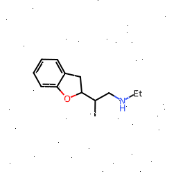 CCNCC(C)C1Cc2ccccc2O1